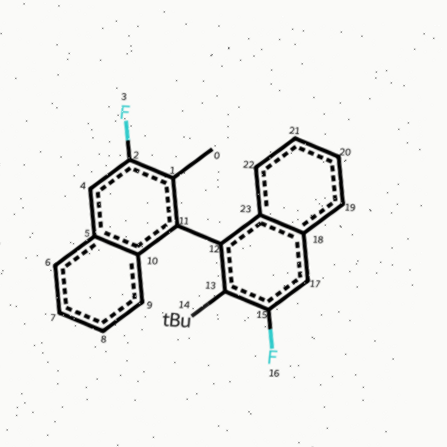 Cc1c(F)cc2ccccc2c1-c1c(C(C)(C)C)c(F)cc2ccccc12